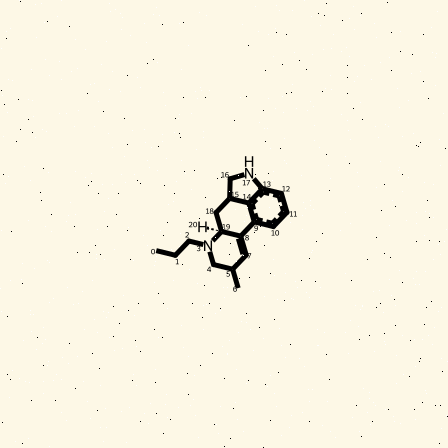 CCCN1CC(C)C=C2c3cccc4c3C(CN4)C[C@@H]21